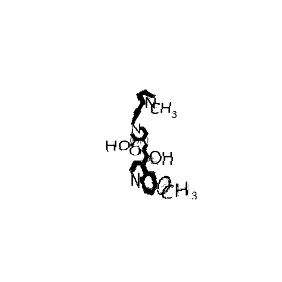 COc1ccc2nccc([C@@H](O)CC[C@@H]3CCN(CC#Cc4cccn4C)C[C@@H]3C(=O)O)c2c1